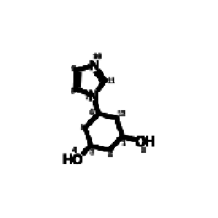 OC1CC(O)CC(n2ccnc2)C1